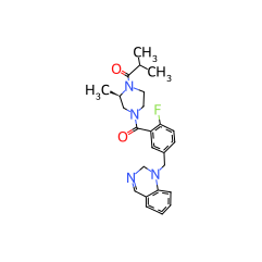 CC(C)C(=O)N1CCN(C(=O)c2cc(CN3CN=Cc4ccccc43)ccc2F)C[C@H]1C